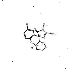 CN1C(=O)[C@@]2(N=C1N)c1cc(Br)ccc1O[C@@H]1CCCOC12